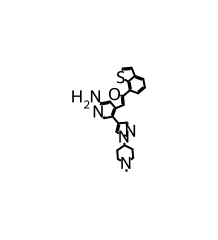 CN1CCC(n2cc(-c3cnc(N)c4oc(-c5cccc6ccsc56)cc34)cn2)CC1